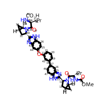 COC(=O)N[C@H](C(=O)N1[C@@H]2C[C@H]2C[C@H]1c1nc2cc(-c3cccc(Oc4ccc5[nH]c([C@@H]6C[C@H]7C[C@H]7N6C(=O)[C@@H](NC(=O)O)C(C)C)nc5c4)c3)ccc2[nH]1)C(C)C